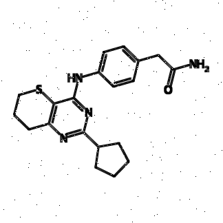 NC(=O)Cc1ccc(Nc2nc(C3CCCC3)nc3c2SCCC3)cc1